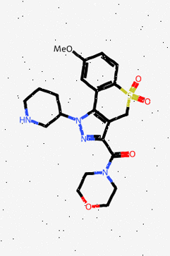 COc1ccc2c(c1)-c1c(c(C(=O)N3CCOCC3)nn1C1CCCNC1)CS2(=O)=O